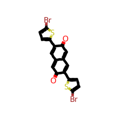 O=C1C=C2C=C(c3ccc(Br)s3)C(=O)C=C2C=C1c1ccc(Br)s1